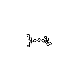 c1ccc(-c2ccc(N(c3ccc(-c4ccccc4)cc3)c3ccc(-c4ccc(-c5ccc(N(c6cccc7ccccc67)c6cccc7ccccc67)cc5)cc4)cc3)cc2)cc1